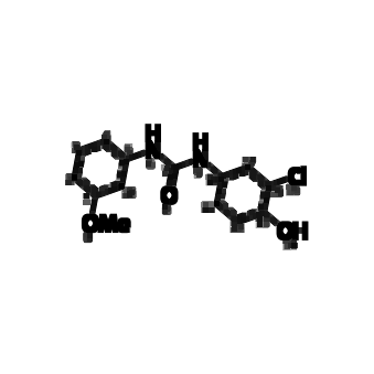 COc1cccc(NC(=O)Nc2ccc(O)c(Cl)c2)c1